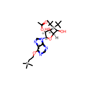 CC(=O)O[C@H]1[C@H](n2cnc3c(OCC[Si](C)(C)C)ncnc32)O[C@@H]2C(O)[Si](C(C)(C)C)(C(C)(C)C)[C@@]21O